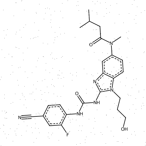 CC(C)CC(=O)N(C)c1ccc2c(c1)nc(NC(=O)Nc1ccc(C#N)cc1F)n2CCCO